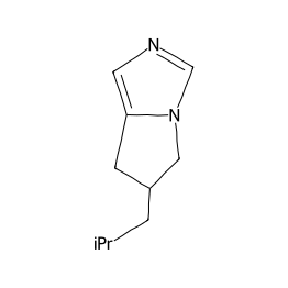 CC(C)CC1Cc2cncn2C1